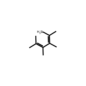 CC(C)=C(C)C(C)=C(C)[SiH3]